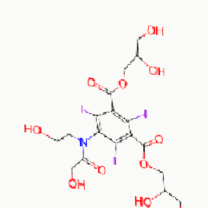 O=C(OCC(O)CO)c1c(I)c(C(=O)OCC(O)CO)c(I)c(N(CCO)C(=O)CO)c1I